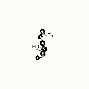 Cc1cc(N2CCC(N3CCCC3C)C2)ccc1N1CCC2(CCN(CC3CCCC3)CC2)C1=O